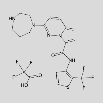 O=C(Nc1ccsc1C(F)(F)F)c1ccc2ccc(N3CCCNCC3)nn12.O=C(O)C(F)(F)F